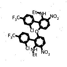 CCNc1c([N+](=O)[O-])ccc(Oc2ccc([N+](=O)[O-])c(NCC)c2-c2ccc(C(F)(F)F)cc2Cl)c1-c1ccc(C(F)(F)F)cc1Cl